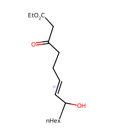 CCCCCCC(O)/C=C/CCC(=O)CC(=O)OCC